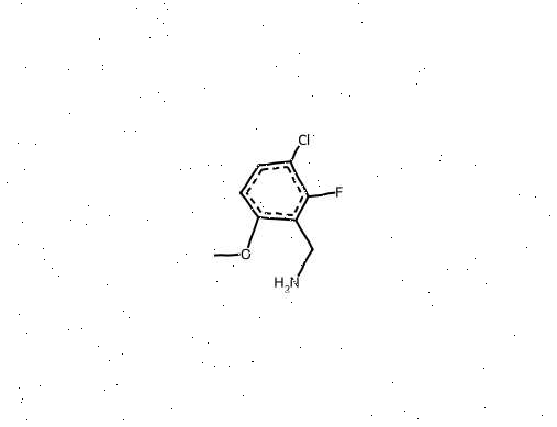 COc1ccc(Cl)c(F)c1CN